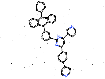 c1ccc(-c2c3ccccc3c(-c3cccc(-c4nc(-c5ccc(-c6ccncc6)cc5)cc(-c5cccnc5)n4)c3)c3ccccc23)cc1